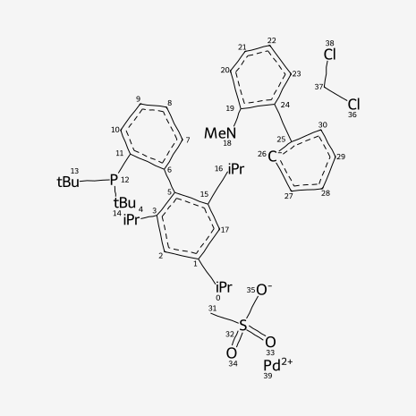 CC(C)c1cc(C(C)C)c(-c2ccccc2P(C(C)(C)C)C(C)(C)C)c(C(C)C)c1.CNc1ccccc1-c1[c-]cccc1.CS(=O)(=O)[O-].ClCCl.[Pd+2]